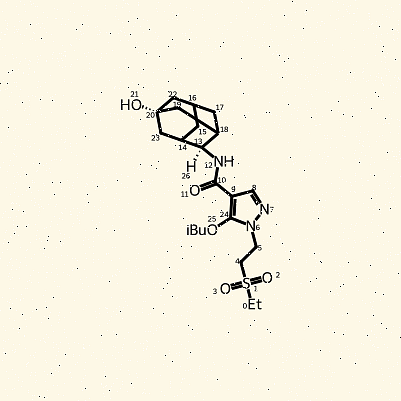 CCS(=O)(=O)CCn1ncc(C(=O)N[C@H]2C3CC4CC2C[C@](O)(C4)C3)c1OCC(C)C